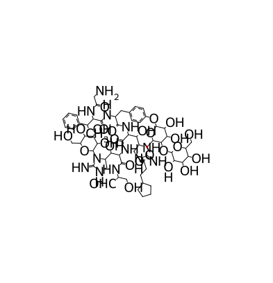 CC(c1ccccc1)C(NC(=O)CN)C(=O)NC(Cc1ccc(OC2OC(COC(=O)CCC3CCCC3)C(OC3OC(CO)C(O)C(O)C3O)C(O)C2O)cc1)C(=O)NC(C(=O)NC(C(=O)NC([C]=O)CO)C(O)C1CNC(=N)N1C1OC(CO)C(O)C(O)C1O)C(O)C1CNC(=N)N1